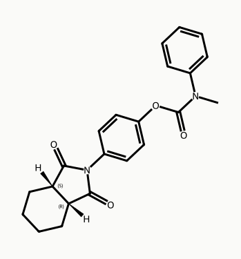 CN(C(=O)Oc1ccc(N2C(=O)[C@H]3CCCC[C@H]3C2=O)cc1)c1ccccc1